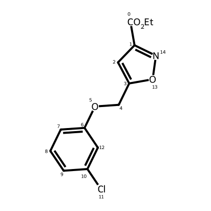 CCOC(=O)c1cc(COc2cccc(Cl)c2)on1